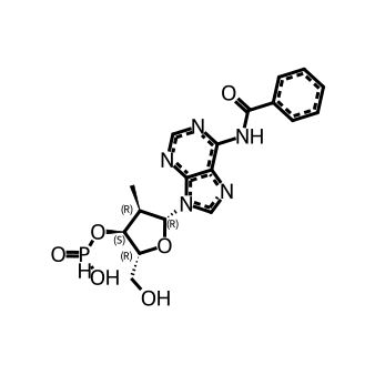 C[C@@H]1[C@H](O[PH](=O)O)[C@@H](CO)O[C@H]1n1cnc2c(NC(=O)c3ccccc3)ncnc21